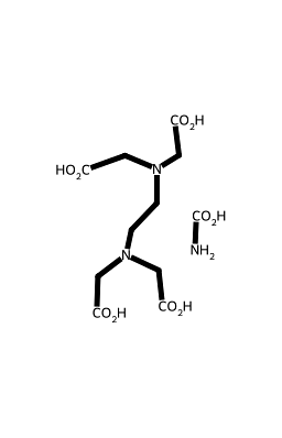 NC(=O)O.O=C(O)CN(CCN(CC(=O)O)CC(=O)O)CC(=O)O